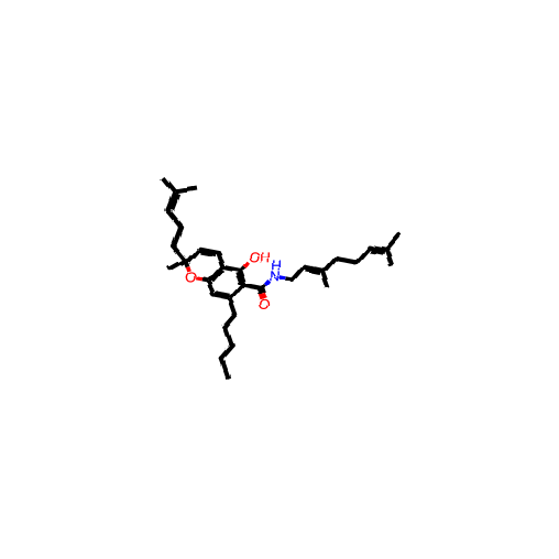 CCCCCc1cc2c(c(O)c1C(=O)NC/C=C(\C)CCC=C(C)C)C=CC(C)(CCC=C(C)C)O2